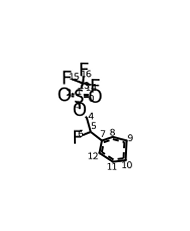 O=S(=O)(OCC(F)c1ccccc1)C(F)(F)F